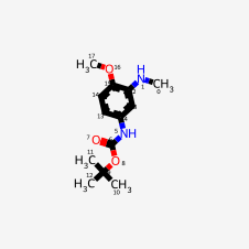 CNc1cc(NC(=O)OC(C)(C)C)ccc1OC